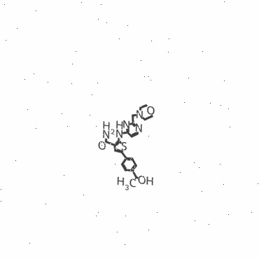 C[C@@H](O)c1ccc(-c2cc(C(N)=O)c(Nc3ccnc(CN4CCOCC4)n3)s2)cc1